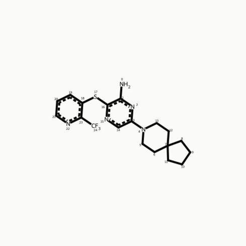 Nc1nc(N2CCC3(CCCC3)CC2)cnc1Sc1cccnc1C(F)(F)F